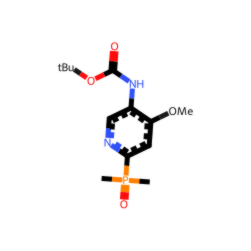 COc1cc(P(C)(C)=O)ncc1NC(=O)OC(C)(C)C